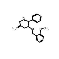 C=C1CNC(c2ccccc2)C(NCc2ccccc2OC)C1